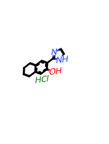 Cl.Oc1cc2c(cc1C1=NCCN1)CCCC2